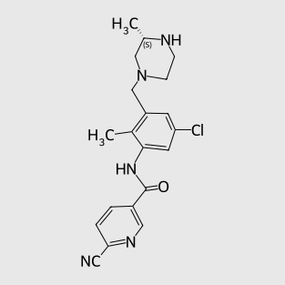 Cc1c(CN2CCN[C@@H](C)C2)cc(Cl)cc1NC(=O)c1ccc(C#N)nc1